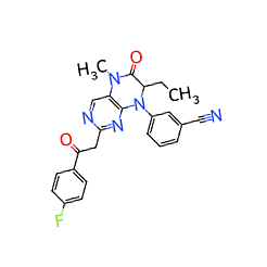 CCC1C(=O)N(C)c2cnc(CC(=O)c3ccc(F)cc3)nc2N1c1cccc(C#N)c1